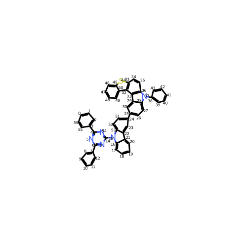 c1ccc(-c2nc(-c3ccccc3)nc(-n3c4ccccc4c4cc(-c5ccc6c(c5)c5c7c(ccc5n6-c5ccccc5)sc5ccccc57)ccc43)n2)cc1